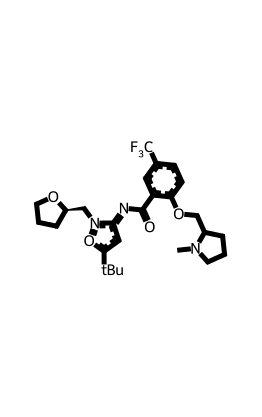 CN1CCCC1COc1ccc(C(F)(F)F)cc1C(=O)N=c1cc(C(C)(C)C)on1C[C@H]1CCCO1